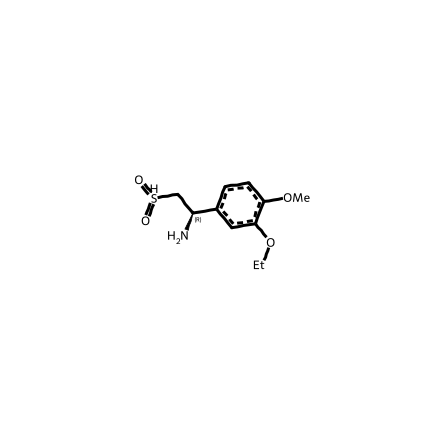 CCOc1cc([C@@H](N)C[SH](=O)=O)ccc1OC